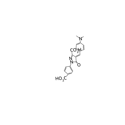 CN(C)c1ccc(C=C2C(=O)N(c3ccc(C(=O)O)cc3)N=C2C(=O)O)cc1